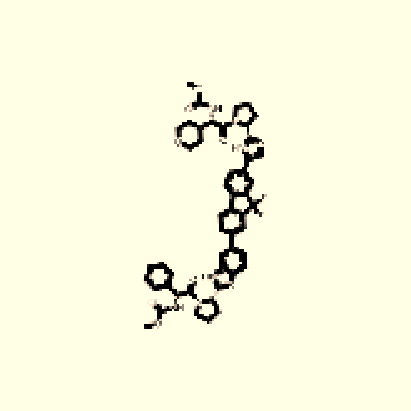 COC(=O)N[C@H](C(=O)N1CCC[C@H]1c1ncc(-c2ccc3c(c2)C(F)(F)c2cc(-c4ccc5nc([C@@H]6CCCN6C(=O)[C@H](NC(=O)OC)c6ccccc6)[nH]c5c4)ccc2-3)[nH]1)C1CCOCC1